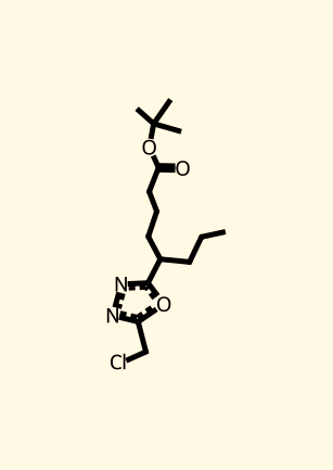 CCCC(CCCC(=O)OC(C)(C)C)c1nnc(CCl)o1